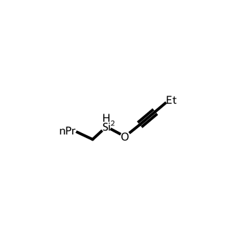 CCC#CO[SiH2]CCCC